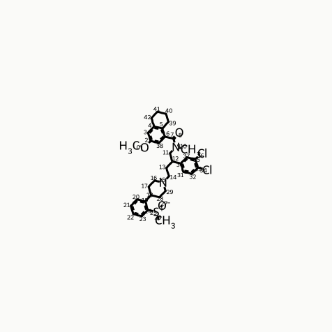 COc1cc2c(c(C(=O)N(C)CC(CCN3CCC(c4ccccc4[S+](C)[O-])CC3)c3ccc(Cl)c(Cl)c3)c1)CCCC2